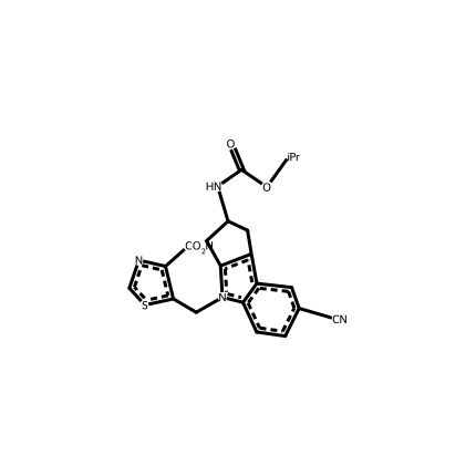 CC(C)OC(=O)NC1Cc2c(n(Cc3scnc3C(=O)O)c3ccc(C#N)cc23)C1